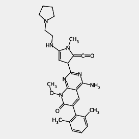 COn1c(=O)c(-c2c(C)cccc2C)cc2c(N)nc(C3C=C(NCCN4CCCC4)N(C)C3=C=O)nc21